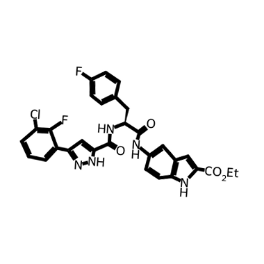 CCOC(=O)c1cc2cc(NC(=O)[C@H](Cc3ccc(F)cc3)NC(=O)c3cc(-c4cccc(Cl)c4F)n[nH]3)ccc2[nH]1